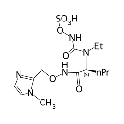 CCC[C@@H](C(=O)NOCc1nccn1C)N(CC)C(=O)NOS(=O)(=O)O